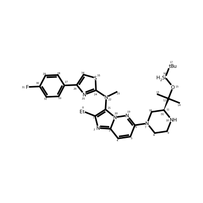 CCc1nc2ccc(N3CCN[C@H](C(C)(C)O[SiH2]C(C)(C)C)C3)nn2c1N(C)c1nc(-c2ccc(F)cc2)cs1